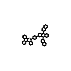 c1ccc2cc(-c3c4ccccc4c(-c4ccc5ccccc5c4)c4cc(-c5ccc(-c6nc7c8ccccc8c8ccccc8c7c7ccccc67)cc5)ccc34)ccc2c1